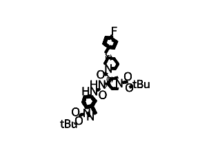 CC(C)(C)OC(=O)N1CC[C@@H](NC(=O)Nc2ccc3c(cnn3C(=O)OC(C)(C)C)c2)[C@H](C(=O)N2CCC[C@@H](Cc3ccc(F)cc3)C2)C1